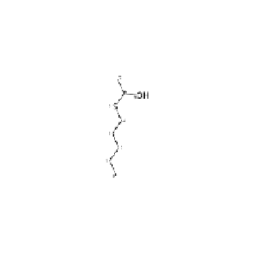 CCCCCSC(C)O